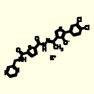 C/C(=N\NC(=O)c1ccc(C(=O)NCc2cnccn2)s1)c1csc(-c2ccc(Cl)c(Cl)c2)c1[O-].[K+]